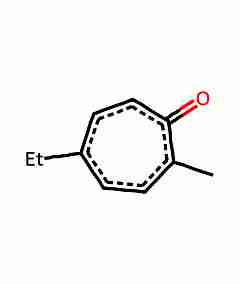 CCc1ccc(C)c(=O)cc1